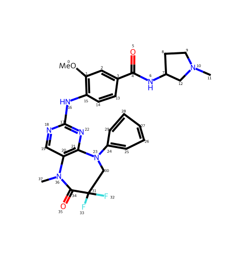 COc1cc(C(=O)NC2CCN(C)C2)ccc1Nc1ncc2c(n1)N(c1ccccc1)CC(F)(F)C(=O)N2C